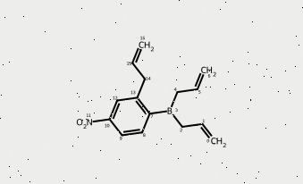 C=CCB(CC=C)c1ccc([N+](=O)[O-])cc1CC=C